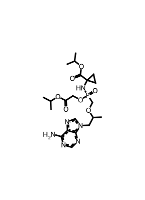 CC(C)OC(=O)COP(=O)(COC(C)Cn1cnc2c(N)ncnc21)NC1(C(=O)OC(C)C)CC1